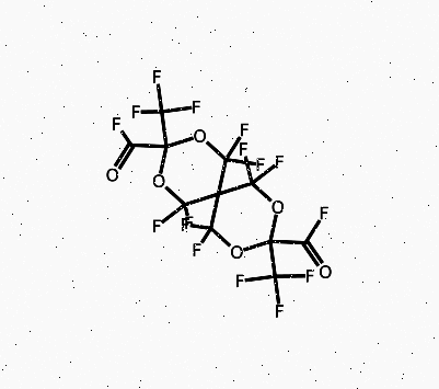 O=C(F)C1(C(F)(F)F)OC(F)(F)C2(C(F)(F)O1)C(F)(F)OC(C(=O)F)(C(F)(F)F)OC2(F)F